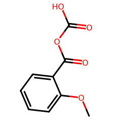 COc1ccccc1C(=O)OC(=O)O